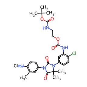 [C-]#[N+]c1ccc(N2C(=O)N(c3ccc(Cl)c(NC(=O)OCCNC(=O)OC(C)(C)C)c3)C(C)(C)C2=O)cc1C